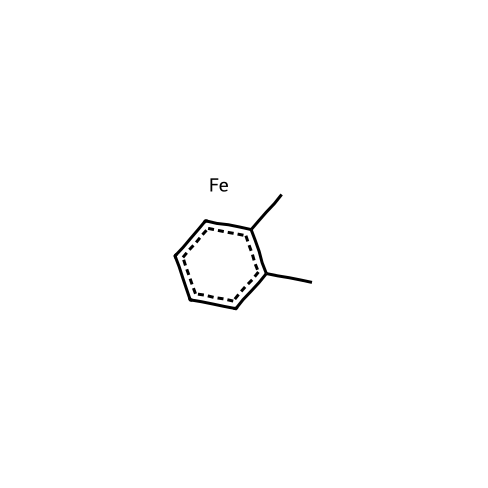 Cc1ccccc1C.[Fe]